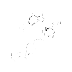 N#Cc1cnc(NCC2CCN(C(=O)C3CCCN3)CC2)nc1-c1c[nH]c2ncc(C(F)(F)F)cc12